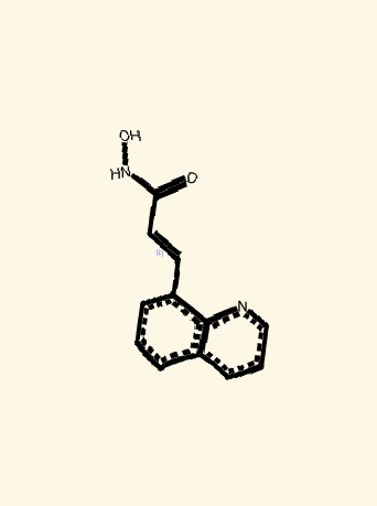 O=C(/C=C/c1cccc2cccnc12)NO